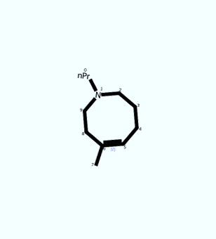 CCCN1CCC/C=C(/C)CC1